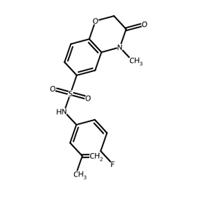 C=C(C)/C=C(\C=C/CF)NS(=O)(=O)c1ccc2c(c1)N(C)C(=O)CO2